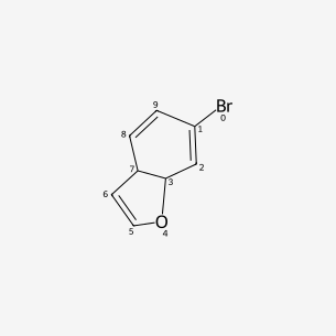 BrC1=CC2OC=CC2C=C1